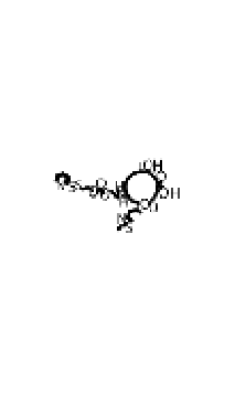 CC(=Cc1csc(C)n1)[C@@H]1C[C@H]2[C@@H](CCC[C@H](C)[C@H](O)[C@@H](C)C(=O)C(C)(C)[C@@H](O)CC(=O)O1)N2CCOC(=O)OCCSSc1ccccn1